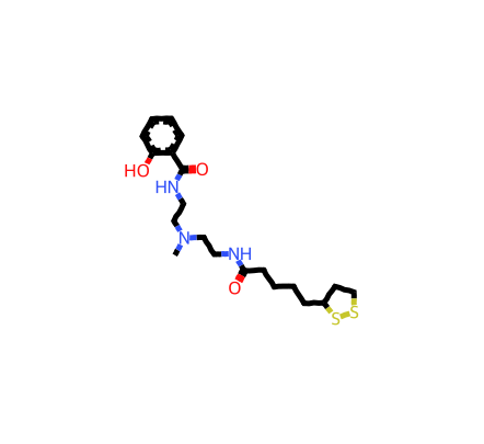 CN(CCNC(=O)CCCCC1CCSS1)CCNC(=O)c1ccccc1O